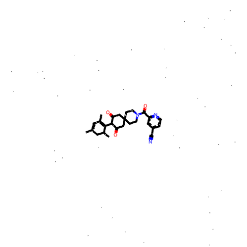 CC1=CC(C)=C(C2C(=O)CC3(CCN(C(=O)c4cc(C#N)ccn4)CC3)CC2=O)C(C)C1